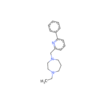 CCN1CCCN(Cc2cccc(-c3ccccc3)n2)CC1